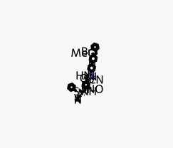 COC1(Cc2ccccc2Br)CCC(N2CCN(/C(=N/C#N)NS(=O)(=O)c3ccc(N[C@H](CCN(C)C)CSc4ccccc4)c(N=O)c3)CC2)CC1